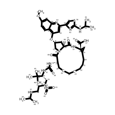 COc1ccc2c(O[C@@H]3C[C@H]4C(=O)N[C@]5(C(=O)O)CC5CCCCCCC[C@H](NC(=O)N[C@H](CN(CCNC(C)C)[SH](=O)=O)C(C)(C)C)C(=O)N4C3)cc(-c3csc(NC(C)C)n3)nc2c1